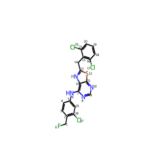 FCc1ccc(Nc2ncnc3sc(Cc4c(Cl)cccc4Cl)nc23)cc1Cl